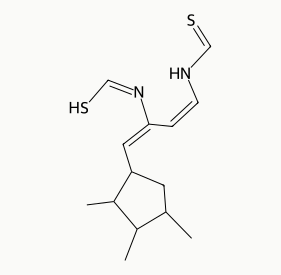 CC1CC(/C=C(\C=C/NC=S)/N=C\S)C(C)C1C